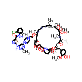 CO[C@@H]1C[C@@H](CC(C)[C@@H]2CC(=O)[C@H](C)/C=C(\C)[C@@H](O)[C@@H](OC)C(=O)[C@H](C)C[C@H](C)/C=C/C=C/C=C(/C)[C@H](OCCN3CCN(c4cc(Nc5ncc(C(=O)Nc6c(C)cccc6Cl)s5)nc(C)n4)CC3)C[C@@H]3CC[C@@H](C)[C@@](O)(O3)C(=O)C(=O)N3CCCC[C@H]3C(=O)O2)CC[C@H]1O